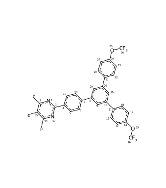 Cc1nc(-c2ccc(-c3cc(-c4ccc(OC(F)(F)F)cc4)cc(-c4ccc(OC(F)(F)F)cc4)c3)cc2)nc(C)c1C